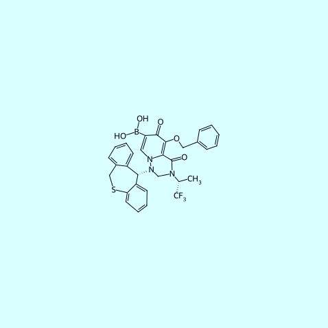 C[C@@H](N1CN([C@H]2c3ccccc3CSc3ccccc32)n2cc(B(O)O)c(=O)c(OCc3ccccc3)c2C1=O)C(F)(F)F